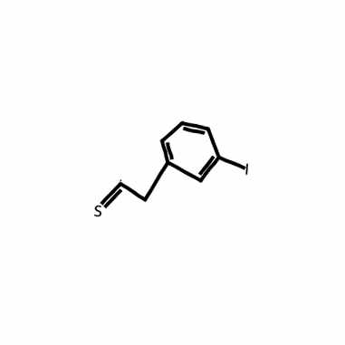 S=[C]Cc1cccc(I)c1